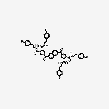 O=C(NCCc1ccc(F)cc1)[C@@H]1CN(C(=O)c2ccc3cc(C(=O)N4C[C@@H](C(=O)NCCc5ccc(F)cc5)[C@H](C(=O)NCCc5ccc(F)cc5)C4)ccc3c2)C[C@H]1C(=O)NCCc1ccc(F)cc1